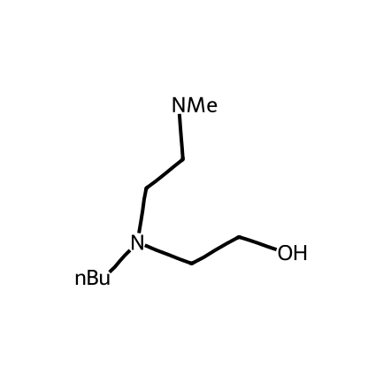 CCCCN(CCO)CCNC